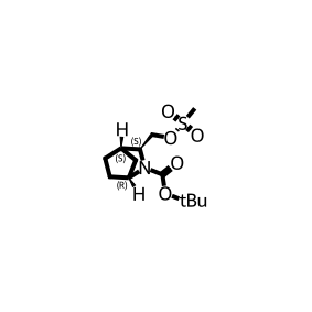 CC(C)(C)OC(=O)N1[C@@H]2CC[C@@H](C2)[C@H]1COS(C)(=O)=O